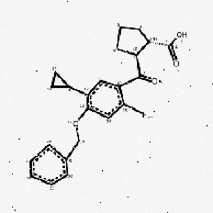 O=C(O)[C@H]1CCC[C@@H]1C(=O)c1cc(C2CC2)c(OCc2ccccc2)cc1F